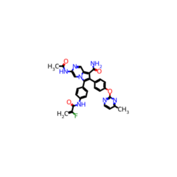 C=C(F)C(=O)Nc1ccc(-c2c(-c3ccc(Oc4nccc(C)n4)cc3)c(C(N)=O)c3cnc(NC(C)=O)cn23)cc1